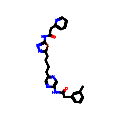 Cc1cccc(CC(=O)Nc2cnc(CCCCc3nnc(NC(=O)Cc4ccccn4)s3)cn2)c1